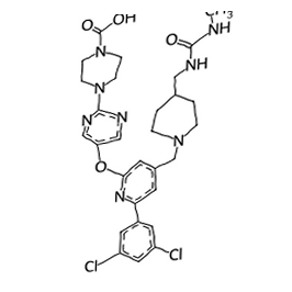 CNC(=O)NCC1CCN(Cc2cc(Oc3cnc(N4CCN(C(=O)O)CC4)nc3)nc(-c3cc(Cl)cc(Cl)c3)c2)CC1